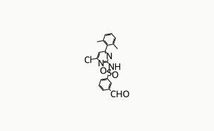 Cc1cccc(C)c1-c1cc(Cl)nc(NS(=O)(=O)c2cccc(C=O)c2)n1